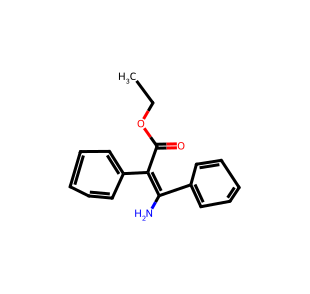 CCOC(=O)C(=C(N)c1ccccc1)c1ccccc1